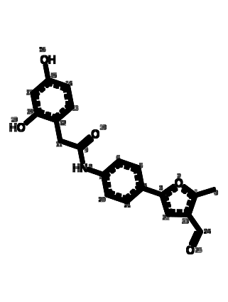 Cc1oc(-c2ccc(NC(=O)Cc3ccc(O)cc3O)cc2)cc1C=O